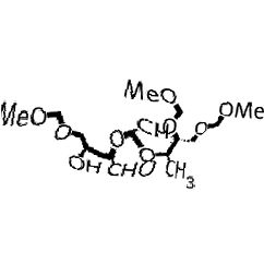 COCOC[C@H](O)[C@@H](C=O)O[C@H](C)O[C@@H](C)[C@@H](COCOC)OCOC